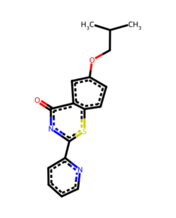 CC(C)COc1ccc2sc(-c3ccccn3)nc(=O)c2c1